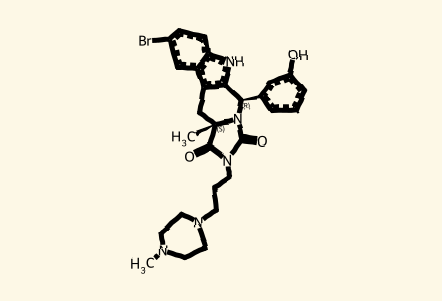 CN1CCN(CCCN2C(=O)N3[C@H](c4cccc(O)c4)c4[nH]c5ccc(Br)cc5c4C[C@@]3(C)C2=O)CC1